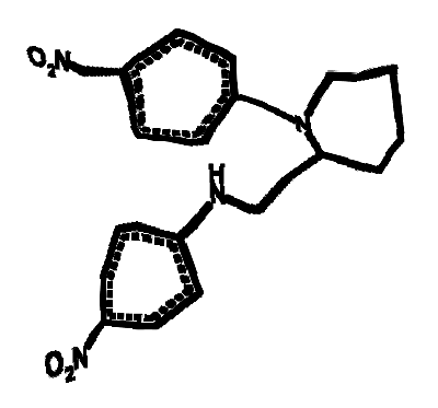 O=[N+]([O-])c1ccc(NCC2CCCCN2c2ccc([N+](=O)[O-])cc2)cc1